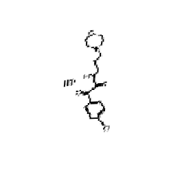 Br.O=C(C(=S)NCCCN1CCOCC1)c1ccc(Cl)cc1